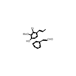 CC=Cc1ccc(O)c(OC)c1CC.O=CC=Cc1ccccc1